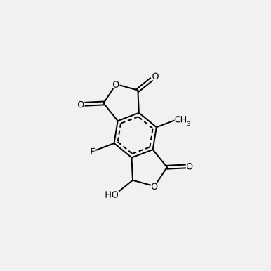 Cc1c2c(c(F)c3c1C(=O)OC3O)C(=O)OC2=O